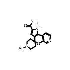 CC(=O)N1CCC2(CC1)Oc1cnccc1-c1[nH]c(C(N)=O)cc12